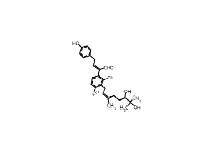 CC(=CCc1c(O)ccc(C(C=O)=CCc2ccc(O)cc2)c1O)CCC(O)C(C)(C)O